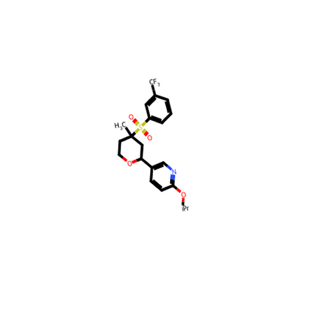 CC(C)Oc1ccc(C2CC(C)(S(=O)(=O)c3cccc(C(F)(F)F)c3)CCO2)cn1